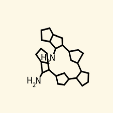 NC1C2CCCC2CC1C1CCC(C2CCCC2C2CCC(C3C(N)C4CCCC43)C2)C1